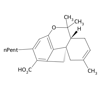 CCCCCc1cc2c3c(c1C(=O)O)C[C@]31CC(C)=CC[C@H]1C(C)(C)O2